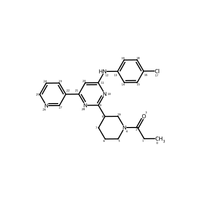 CCC(=O)N1CCCC(c2nc(Nc3ccc(Cl)cc3)cc(-c3cccnc3)n2)C1